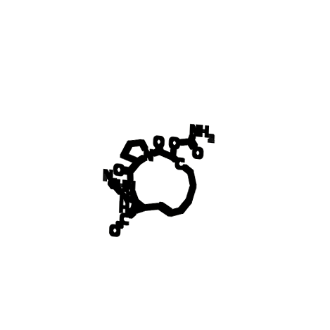 N#CNC12NC(=O)C3CCCN3C(=O)C(OC(N)=O)CCCCC/C=C/C1C2=C=O